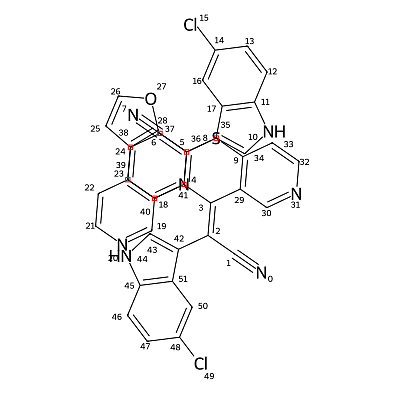 N#C/C(=C(/C(=C(/C#N)c1c[nH]c2ccc(Cl)cc12)c1cnccc1-c1ccoc1)c1cnccc1Sc1ccccn1)c1c[nH]c2ccc(Cl)cc12